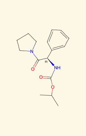 CC(C)OC(=O)N[C@@H](C(=O)N1CCCC1)c1ccccc1